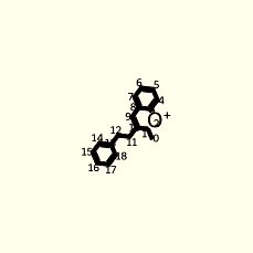 Cc1[o+]c2ccccc2cc1CCc1ccccc1